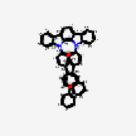 c1ccc(-c2ccc(-c3ccc(-n4c5ccccc5c5ccc6c7ccccc7n(-c7ccc(-c8ccc9ccccc9c8)cc7)c6c54)cc3)cc2)cc1